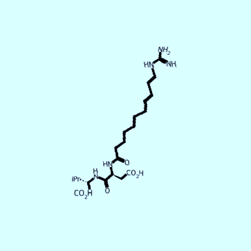 CC(C)[C@H](NC(=O)[C@H](CC(=O)O)NC(=O)CCCCCCCCCCNC(=N)N)C(=O)O